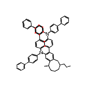 CCCC1CCCC(C)c2cc(N(c3ccc(-c4ccccc4)cc3)c3ccc(-c4ccccc4)cc3)c(-c3ccc(N(c4ccc(-c5ccccc5)cc4)c4ccc(-c5ccccc5)cc4)cc3)cc2C1